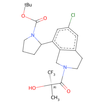 CC(C)(C)OC(=O)N1CCCC1c1cc(Cl)cc2c1CN(C(=O)[C@@](C)(O)C(F)(F)F)CC2